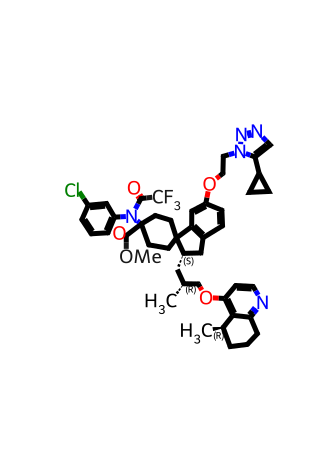 COC(=O)C1(N(C(=O)C(F)(F)F)c2cccc(Cl)c2)CCC2(CC1)c1cc(OCCn3nncc3C3CC3)ccc1C[C@@H]2C[C@@H](C)COc1ccnc2c1[C@H](C)CCC2